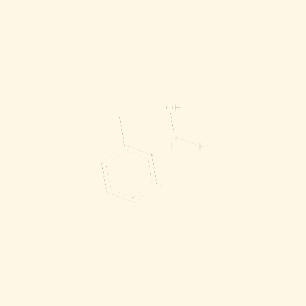 CC[SiH](O)c1ccccc1C